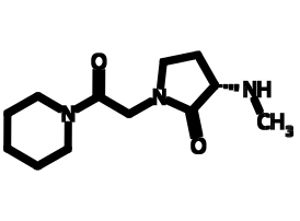 CN[C@H]1CCN(CC(=O)N2CCCCC2)C1=O